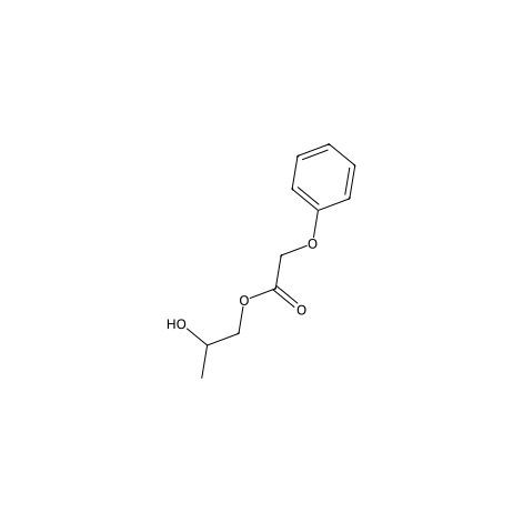 CC(O)COC(=O)COc1ccccc1